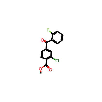 COC(=O)c1ccc(C(=O)c2ccccc2F)cc1Cl